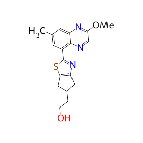 COc1cnc2c(-c3nc4c(s3)CC(CCO)C4)cc(C)cc2n1